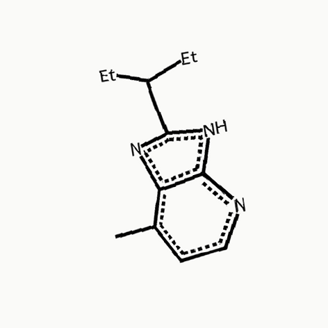 CCC(CC)c1nc2c(C)ccnc2[nH]1